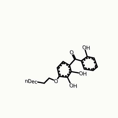 CCCCCCCCCCCCOc1ccc(C(=O)c2ccccc2O)c(O)c1O